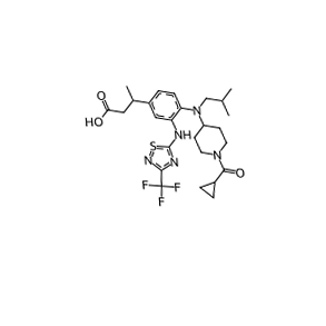 CC(C)CN(c1ccc(C(C)CC(=O)O)cc1Nc1nc(C(F)(F)F)ns1)C1CCN(C(=O)C2CC2)CC1